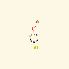 Sc1ccc(OCBr)cc1